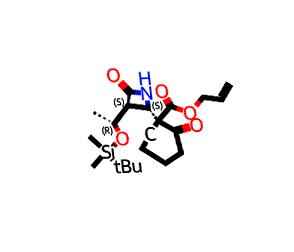 C=CCOC(=O)C1([C@H]2NC(=O)[C@@H]2[C@@H](C)O[Si](C)(C)C(C)(C)C)CCCCC1=O